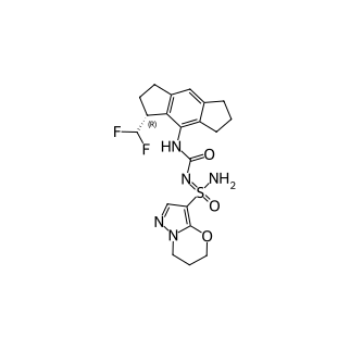 NS(=O)(=NC(=O)Nc1c2c(cc3c1[C@H](C(F)F)CC3)CCC2)c1cnn2c1OCCC2